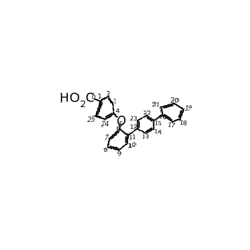 O=C(O)c1ccc(Oc2ccccc2-c2ccc(-c3ccccc3)cc2)cc1